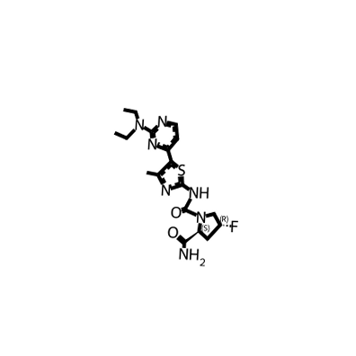 CCN(CC)c1nccc(-c2sc(NC(=O)N3C[C@H](F)C[C@H]3C(N)=O)nc2C)n1